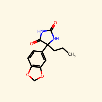 CCCC1(c2ccc3c(c2)OCO3)NC(=O)NC1=O